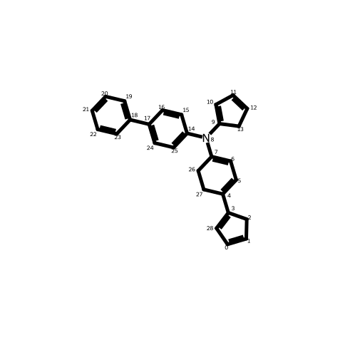 C1=CCC(C2=CC=C(N(C3=CC=CC3)c3ccc(-c4ccccc4)cc3)CC2)=C1